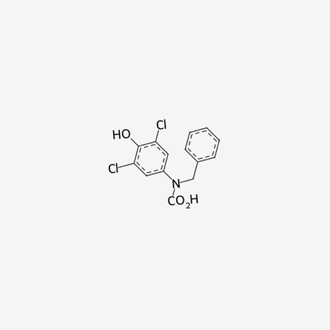 O=C(O)N(Cc1ccccc1)c1cc(Cl)c(O)c(Cl)c1